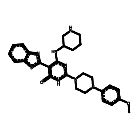 COc1ccc(N2CCN(c3nc(NC4CCCNC4)c(-c4nc5ccccc5s4)c(=O)[nH]3)CC2)cc1